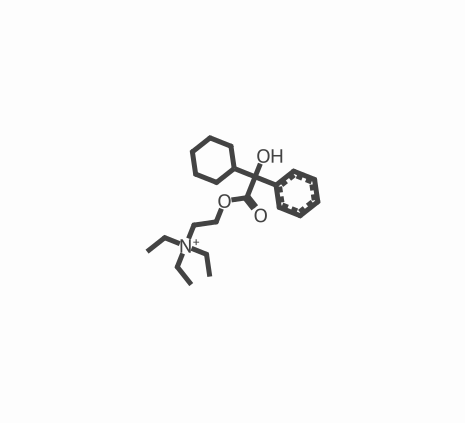 CC[N+](CC)(CC)CCOC(=O)C(O)(c1ccccc1)C1CCCCC1